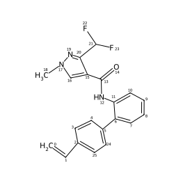 C=Cc1ccc(-c2ccccc2NC(=O)c2cn(C)nc2C(F)F)cc1